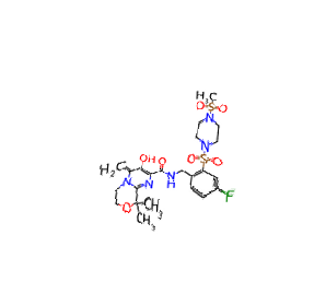 C=C1C(O)=C(C(=O)NCc2ccc(F)cc2S(=O)(=O)N2CCN(S(C)(=O)=O)CC2)N=C2N1CCOC2(C)C